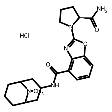 CN1C2CCCC1CC(NC(=O)c1cccc3oc(N4CCC[C@H]4C(N)=O)nc13)C2.Cl